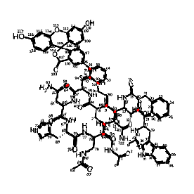 CC(=O)NCCCC[C@H](NC(=O)C(CC(=O)O)NC(=O)[C@@H](Cc1ccccc1)NC(=O)C(Cc1c[nH]c2ccccc12)NC(C)=O)C(=O)NC(Cc1ccccc1)C(=O)NC(CC(N)=O)C(=O)N[C@@H](Cc1c[nH]cn1)C(=O)NC(CNC(C)=O)C(=O)NC(CCCCNC(=S)Nc1ccc2c(c1)C(=O)OC21c2ccc(O)cc2Oc2cc(O)ccc21)C(N)=O